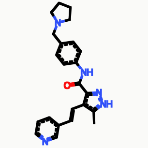 Cc1[nH]nc(C(=O)Nc2ccc(CN3CCCC3)cc2)c1/C=C/c1cccnc1